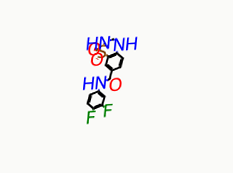 O=C(Nc1ccc(F)c(F)c1)c1ccc2c(c1)S(=O)(=O)NCN2